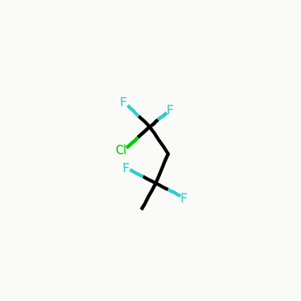 CC(F)(F)CC(F)(F)Cl